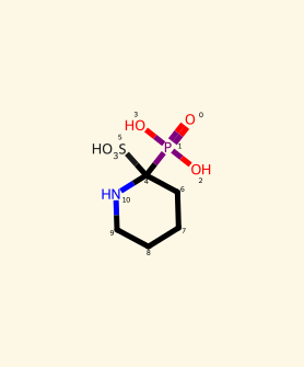 O=P(O)(O)C1(S(=O)(=O)O)CCCCN1